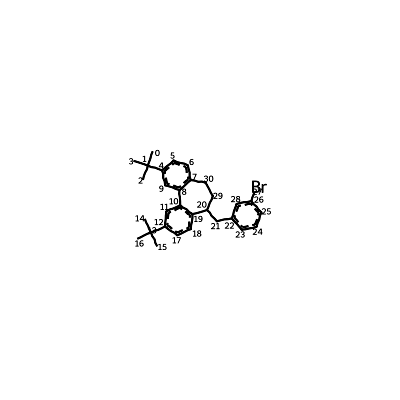 CC(C)(C)c1ccc2c(c1)-c1cc(C(C)(C)C)ccc1C(Cc1cccc(Br)c1)CC2